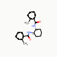 Cc1ccccc1C(=O)N[C@@H]1CCCC[C@H]1NC(=O)c1ccccc1C